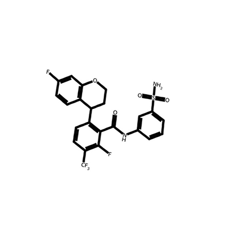 NS(=O)(=O)c1cccc(NC(=O)c2c(C3CCOc4cc(F)ccc43)ccc(C(F)(F)F)c2F)c1